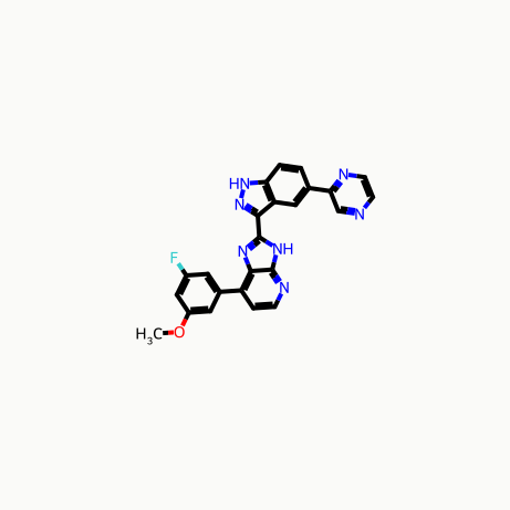 COc1cc(F)cc(-c2ccnc3[nH]c(-c4n[nH]c5ccc(-c6cnccn6)cc45)nc23)c1